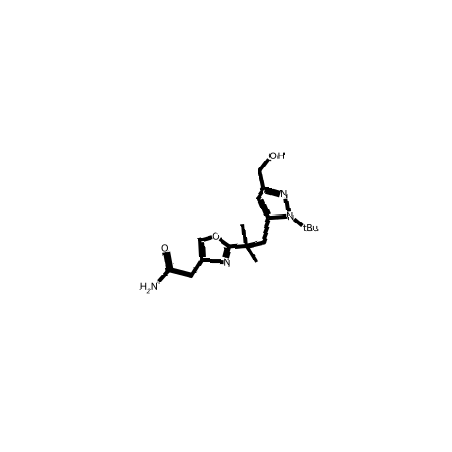 CC(C)(Cc1cc(CO)nn1C(C)(C)C)c1nc(CC(N)=O)co1